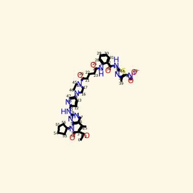 CC(=O)c1c(C)c2cnc(Nc3ccc(N4CCN(C(=O)CCCC(=O)Nc5ccccc5C(=O)Nc5nc(C)c([N+](=O)[O-])s5)CC4)cn3)nc2n(C2CCCC2)c1=O